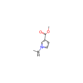 CBn1ccc(C(=O)OC)c1